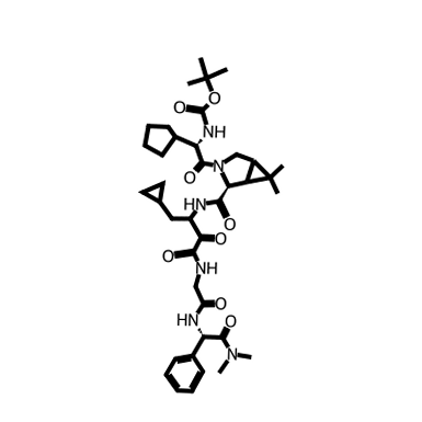 CN(C)C(=O)[C@@H](NC(=O)CNC(=O)C(=O)C(CC1CC1)NC(=O)[C@@H]1C2C(CN1C(=O)[C@@H](NC(=O)OC(C)(C)C)C1CCCC1)C2(C)C)c1ccccc1